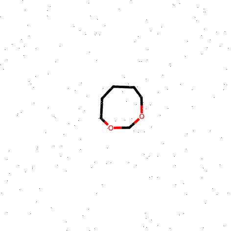 [CH]1CCCCOCO1